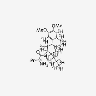 [2H]c1c(OC)c(OC)c([2H])c2c1C1N(C([2H])([2H])C2([2H])[2H])C([2H])([2H])C([2H])(C([2H])([2H])C([2H])(C)C([2H])([2H])[2H])C([2H])(OC(=O)[C@@H](N)C(C)C)C1([2H])[2H]